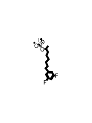 CO[SiH](OC)OC(C)CCCCCCc1cc(F)cc(F)c1